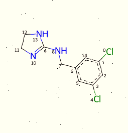 Clc1cc(Cl)cc(CNC2=NCCN2)c1